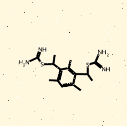 Cc1cc(C)c(C(C)SC(=N)N)c(C)c1C(C)SC(=N)N